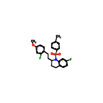 COc1ccc(CCC2CCc3ccc(F)cc3N2S(=O)(=O)c2ccc(C)cc2)c(F)c1